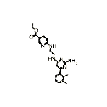 CCOC(=O)c1ccc(NCCNc2cc(-c3cccc(C)c3C)nc(N)n2)nc1